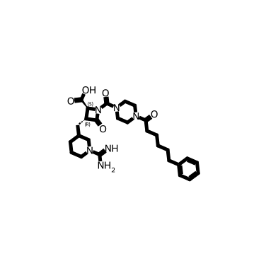 N=C(N)N1CCCC(C[C@H]2C(=O)N(C(=O)N3CCN(C(=O)CCCCCc4ccccc4)CC3)[C@@H]2C(=O)O)C1